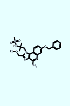 CCOCc1nc2c(N)nc3cc(OCc4ccccc4)ccc3c2n1CC(C)(C)NS(C)(=O)=O